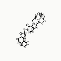 CC#CCn1c(N2CCCC(N)C2)nc2cnn(Cc3nc4c(ccc5ccccc54)o3)c(=O)c21